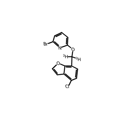 [2H]C([2H])(Oc1cccc(Br)n1)c1ccc(Cl)c2ccoc12